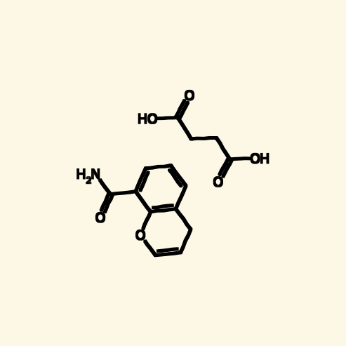 NC(=O)c1cccc2c1OC=CC2.O=C(O)CCC(=O)O